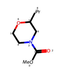 COC(=O)N1CCOC(C(C)C)C1